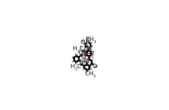 Cc1cc([C@@H](C)Nc2ccccc2C(=O)OC(C)(C)C)c2oc(-c3ccc(N4CCN(C)C(=O)C4)cc3)cc(=O)c2c1